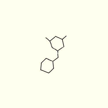 CC1CC(C)CC(CC2CCCCC2)C1